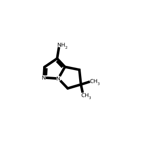 CC1(C)Cc2c(N)cnn2C1